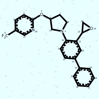 FC(F)(F)c1ccc(OC2CCN(c3ccc(-c4ccccc4)cc3C3CO3)C2)nc1